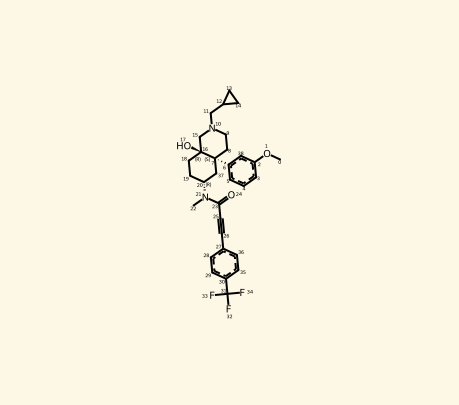 COc1cccc([C@@]23CCN(CC4CC4)C[C@@]2(O)CC[C@@H](N(C)C(=O)C#Cc2ccc(C(F)(F)F)cc2)C3)c1